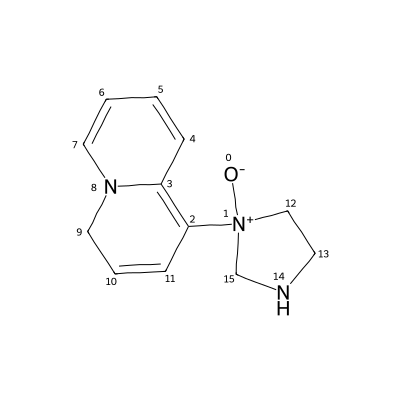 [O-][N+]1(C2=C3C=CC=CN3CC=C2)CCNC1